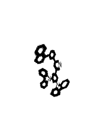 C1=Cc2c(n(-c3cc(-c4cncc(-c5cccc(-c6cccc7ccccc67)c5)c4)cc(-n4c5ccccc5c5ccccc54)c3)c3ccccc23)CC1